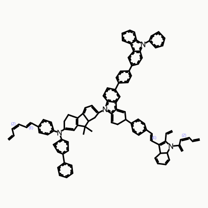 C=C/C=C\C=C\c1ccc(N(C2=CC3=C(CC2)C2=CC=C(n4c5c(c6cc(-c7ccc(-c8ccc9c(c8)c8ccccc8n9-c8ccccc8)cc7)ccc64)=CC(c4ccc(/C=C/C6=C(C=C)N(C(=C)/C=C\C=C)C7C=CC=CC67)cc4)CC=5)CC2C3(C)C)c2ccc(-c3ccccc3)cc2)cc1